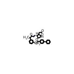 Cc1cccc([C@@H](C)C(=O)/C=C/[C@@H]2[C@H]3CC(=O)O[C@H]3C[C@H]2OC(=O)c2ccc(-c3ccccc3)cc2)c1